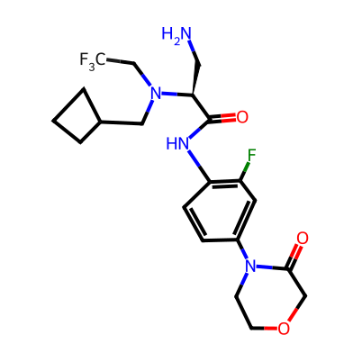 NC[C@@H](C(=O)Nc1ccc(N2CCOCC2=O)cc1F)N(CC1CCC1)CC(F)(F)F